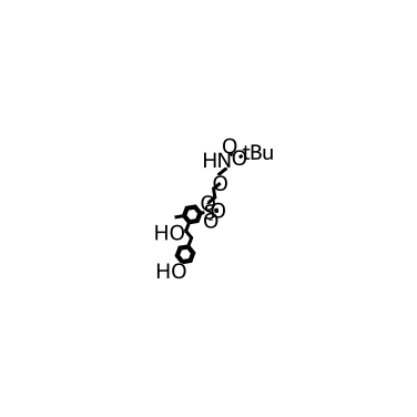 Cc1ccc(S(=O)(=O)OCCOCCNC(=O)OC(C)(C)C)cc1C(O)Cc1ccc(O)cc1